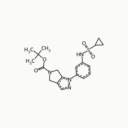 CC(C)(C)OC(=O)N1Cc2cnn(-c3cccc(NS(=O)(=O)C4CC4)c3)c2C1